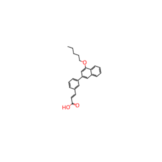 CCCCCOc1cc(-c2cccc(C=CC(=O)O)c2)cc2ccccc12